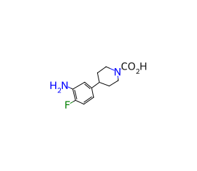 Nc1cc(C2CCN(C(=O)O)CC2)ccc1F